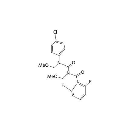 COCN(C(=O)c1c(F)cccc1F)C(=O)N(COC)c1ccc(Cl)cc1